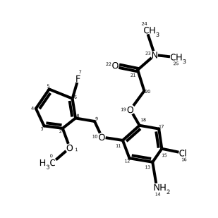 COc1cccc(F)c1COc1cc(N)c(Cl)cc1OCC(=O)N(C)C